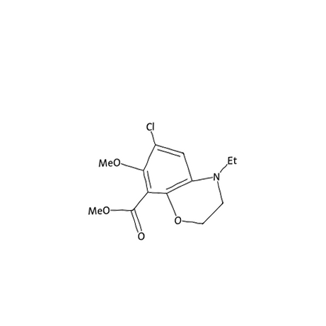 CCN1CCOc2c1cc(Cl)c(OC)c2C(=O)OC